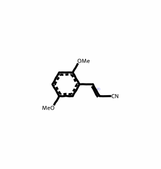 COc1ccc(OC)c(/C=C/C#N)c1